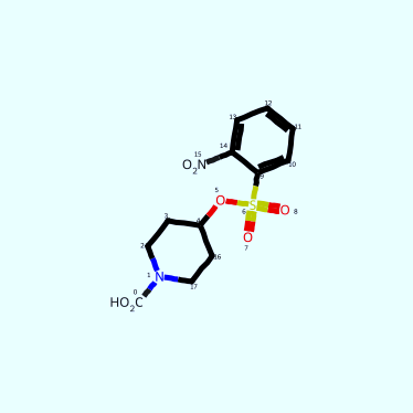 O=C(O)N1CCC(OS(=O)(=O)c2ccccc2[N+](=O)[O-])CC1